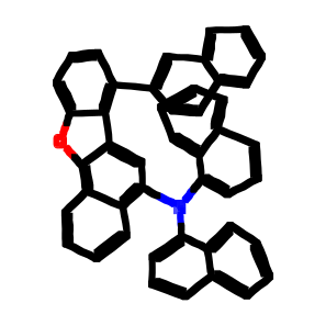 c1ccc2cc(-c3cccc4oc5c6ccccc6c(N(c6cccc7ccccc67)c6cccc7ccccc67)cc5c34)ccc2c1